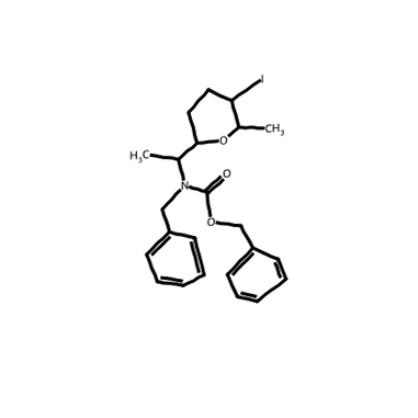 CC1OC(C(C)N(Cc2ccccc2)C(=O)OCc2ccccc2)CCC1I